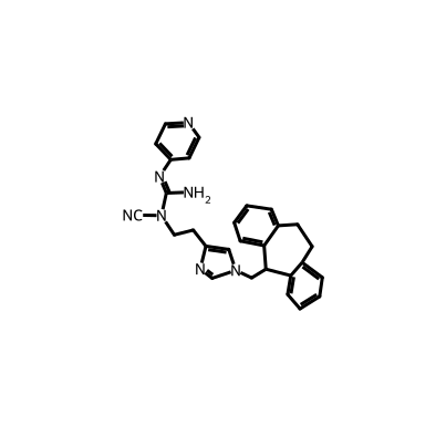 N#CN(CCc1cn(CC2c3ccccc3CCc3ccccc32)cn1)/C(N)=N/c1ccncc1